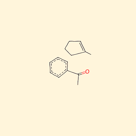 CC(=O)c1ccccc1.CC1=CCCC1